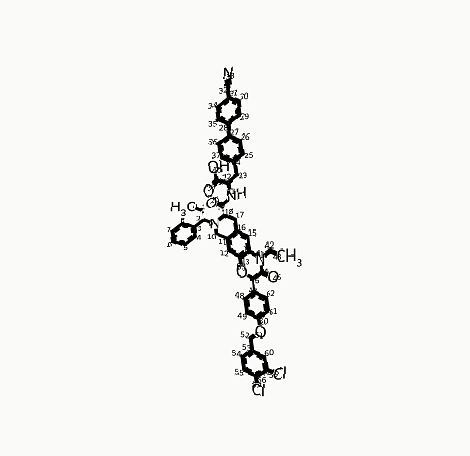 CC[C@@H](c1ccccc1)N1Cc2cc3c(cc2C[C@H]1C(=O)NC(Cc1ccc(-c2ccc(C#N)cc2)cc1)C(=O)O)N(CC)C(=O)[C@@H](c1ccc(OCc2ccc(Cl)c(Cl)c2)cc1)O3